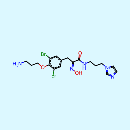 NCCCOc1c(Br)cc(CC(=NO)C(=O)NCCCn2ccnc2)cc1Br